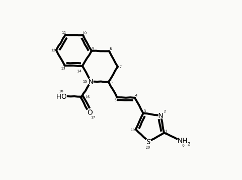 Nc1nc(/C=C/C2CCc3ccccc3N2C(=O)O)cs1